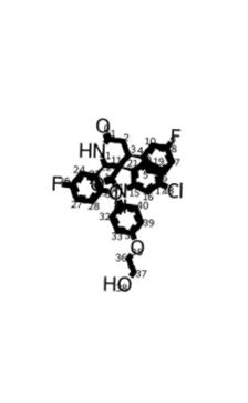 O=C1C[C@@H](c2cccc(F)c2)[C@]2(C(=O)Nc3cc(Cl)ccc32)[C@@H](c2cc(F)ccc2Oc2ccc(OCCO)cc2)N1